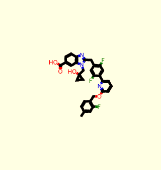 Cc1ccc(COc2cccc(-c3cc(F)c(Cc4nc5ccc(C(=O)O)cc5n4CC4(O)CC4)cc3F)n2)c(F)c1